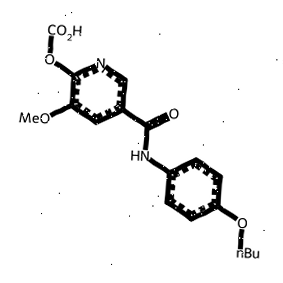 CCCCOc1ccc(NC(=O)c2cnc(OC(=O)O)c(OC)c2)cc1